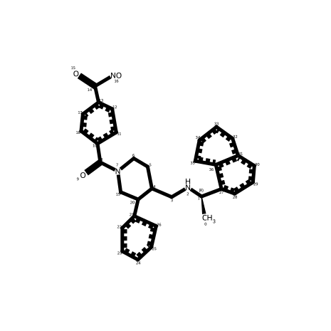 C[C@@H](NCC1CCN(C(=O)c2ccc(C(=O)N=O)cc2)CC1c1ccccc1)c1cccc2ccccc12